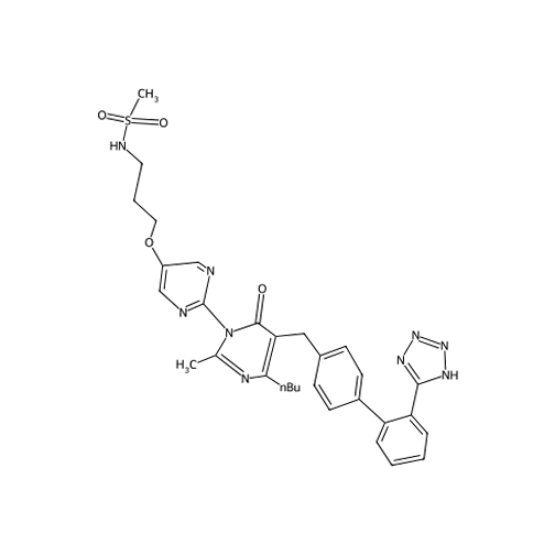 CCCCc1nc(C)n(-c2ncc(OCCCNS(C)(=O)=O)cn2)c(=O)c1Cc1ccc(-c2ccccc2-c2nnn[nH]2)cc1